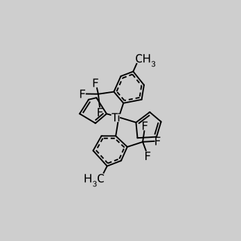 Cc1cc[c]([Ti]([C]2=CC=CC2)([C]2=CC=CC2)[c]2ccc(C)cc2C(F)(F)F)c(C(F)(F)F)c1